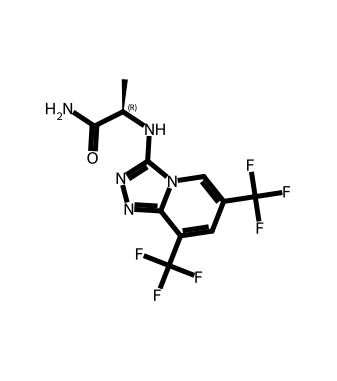 C[C@@H](Nc1nnc2c(C(F)(F)F)cc(C(F)(F)F)cn12)C(N)=O